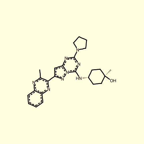 Cc1nc2ccccc2nc1-c1cc2nc(N3CCCC3)nc(N[C@H]3CC[C@](C)(O)CC3)n2n1